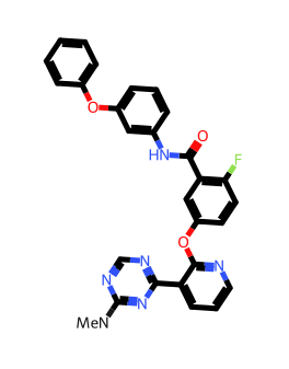 CNc1ncnc(-c2cccnc2Oc2ccc(F)c(C(=O)Nc3cccc(Oc4ccccc4)c3)c2)n1